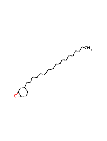 CCCCCCCCCCCCCCCCCCC1CCC2OC2C1